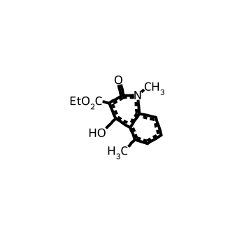 CCOC(=O)c1c(O)c2c(C)cccc2n(C)c1=O